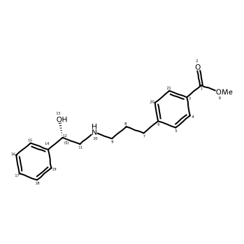 COC(=O)c1ccc(CCCNC[C@@H](O)c2ccccc2)cc1